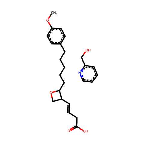 COc1ccc(CCCCCC2OCC2C=CCC(=O)O)cc1.OCc1ccccn1